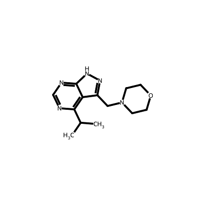 CC(C)c1ncnc2[nH]nc(CN3CCOCC3)c12